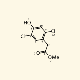 COC(=O)Cc1cc(Cl)c(O)cc1Cl